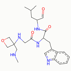 CNCC1(NCC(=O)NC(Cc2c[nH]c3ccccc23)C(=O)NC(C=O)CC(C)C)COC1